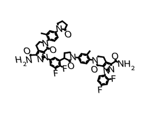 Cc1cc(N2CCCC2=O)ccc1N1CCc2c(C(N)=O)nn(-c3cc(F)c(F)c(C4CCN(c5ccc(N6CCc7c(C(N)=O)nn(-c8ccc(F)cc8F)c7C6=O)c(C)c5)C4=O)c3)c2C1=O